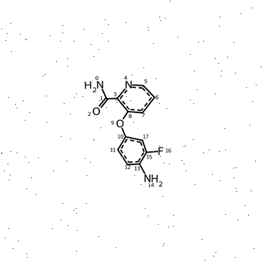 NC(=O)c1ncccc1Oc1ccc(N)c(F)c1